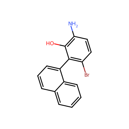 Nc1ccc(Br)c(-c2cccc3ccccc23)c1O